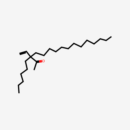 C=CC(CCCCCC)(CCCCCCCCCCCCC)C(C)=O